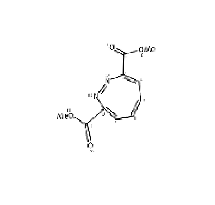 COC(=O)C1=CC=CC=C(C(=O)OC)N=N1